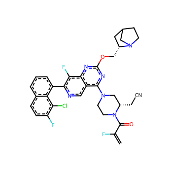 C=C(F)C(=O)N1CCN(c2nc(OC[C@@H]3CC4CCN3C4)nc3c(F)c(-c4cccc5ccc(F)c(Cl)c45)ncc23)C[C@@H]1CC#N